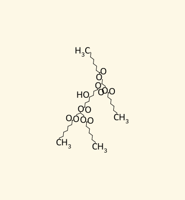 CCCCCCCC(=O)OCC(COC(=O)CCCCCCC)OC(=O)CCC(O)CCC(=O)OC(COC(=O)CCCCCCC)COC(=O)CCCCCCC